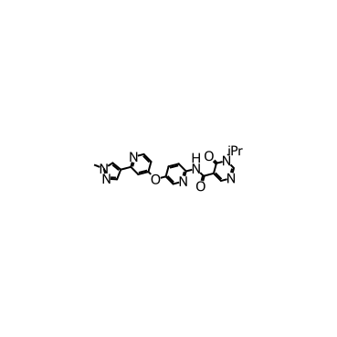 CC(C)n1cncc(C(=O)Nc2ccc(Oc3ccnc(-c4cnn(C)c4)c3)cn2)c1=O